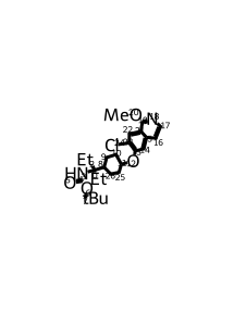 CCC(CC)(NC(=O)OC(C)(C)C)C1CCC(Oc2cc3ccnc(OC)c3cc2Cl)CC1